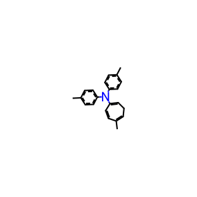 CC1=CCC=C(N(c2ccc(C)cc2)c2ccc(C)cc2)C=C1